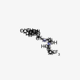 C[C@]12CCC(=O)C=C1CC[C@@H]1C2=CC[C@@]2(C)[C@H]1CC[C@]2(O)C(=O)COC(=O)CCC/C=C\C[C@H]1CC[C@@H](O)[C@@H]1/C=C/[C@@H](O)COc1cccc(C(F)(F)F)c1